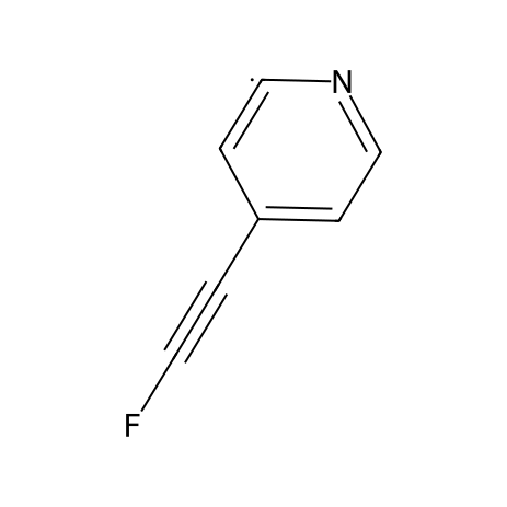 FC#Cc1c[c]ncc1